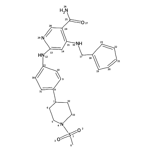 CS(=O)(=O)N1CCC(c2ccc(Nc3cc(NCc4ccccc4)c(C(N)=O)cn3)cc2)CC1